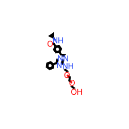 O=C(NC1CC1)c1ccc(-c2cnc3c(NCCOCCOCCO)nc(-c4ccccc4)cn23)cc1